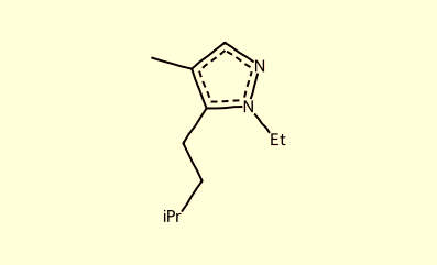 CCn1ncc(C)c1CCC(C)C